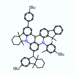 Cc1cc(C(C)(C)C)cc(C)c1N1c2cc(C3c4ccc(C(C)(C)C)cc4C4(C)CCCCC34C)cc3c2B(c2ccc4c(c21)C(C)(C)c1ccccc1-4)c1cc(-c2ccc(C(C)(C)C)cc2)cc2c1N3C1(C)CCCCC21C